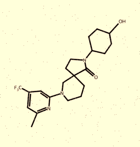 Cc1cc(C(F)(F)F)cc(N2CCCC3(CCN(C4CCC(O)CC4)C3=O)C2)n1